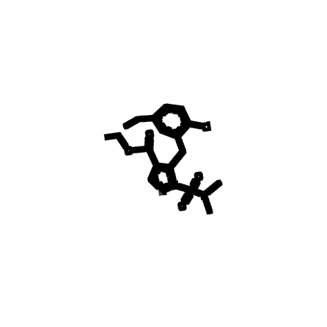 CCOC(=O)c1cnn(S(=O)(=O)N(C)C)c1Cc1cc(CC)ccc1Cl